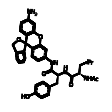 CC(=O)N[C@@H](CC(C)C)C(=O)N[C@@H](Cc1ccc(O)cc1)C(=O)Nc1ccc2c(c1)Oc1cc(N)ccc1C21OCc2ccccc21